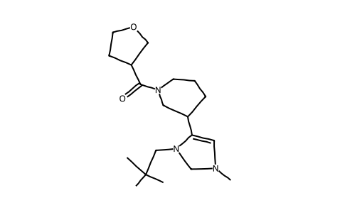 CN1C=C(C2CCCN(C(=O)C3CCOC3)C2)N(CC(C)(C)C)C1